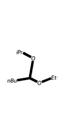 C[CH]OC(CCCC)OC(C)C